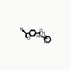 N#Cc1coc2cc(C(=O)N[C@@H]3CC4CCN(CC4)C3)ccc12